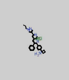 CCCn1cc(-c2cc3cc(-c4ccccc4)c(-c4ccc(C5(N)CCC5)cc4)nc3cn2)cn1.Cl.Cl